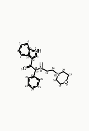 O=C(c1c[nH]c2ccccc12)[C@@H](NCCN1CCOCC1)c1ccccc1